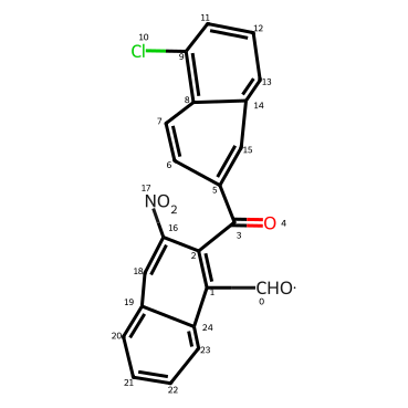 O=[C]c1c(C(=O)c2ccc3c(Cl)cccc3c2)c([N+](=O)[O-])cc2ccccc12